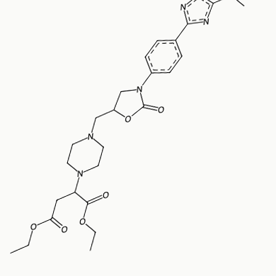 CCOC(=O)CC(C(=O)OCC)N1CCN(CC2CN(c3ccc(-c4noc(CC)n4)cc3)C(=O)O2)CC1